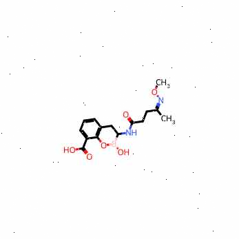 CO/N=C(/C)CCC(=O)NC1Cc2cccc(C(=O)O)c2OB1O